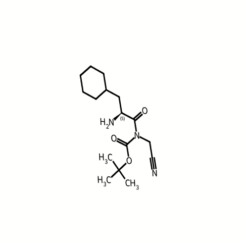 CC(C)(C)OC(=O)N(CC#N)C(=O)[C@@H](N)CC1CCCCC1